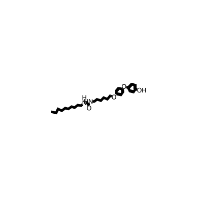 CCCCCCCCCCNC(=O)NCCCCCCOc1ccc(Oc2ccc(O)cc2)cc1